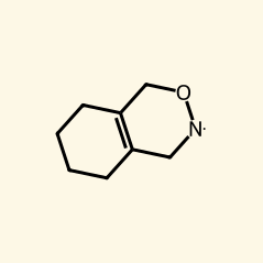 C1CCC2=C(C1)C[N]OC2